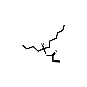 C=CC(=O)NC(N)(CCCC)CCCCCC